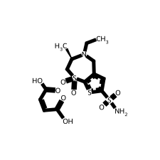 CCN1Cc2cc(S(N)(=O)=O)sc2S(=O)(=O)C[C@H]1C.O=C(O)/C=C\C(=O)O